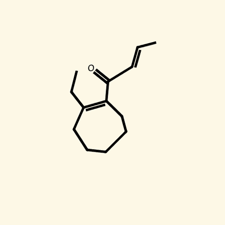 CC=CC(=O)C1=C(CC)CCCCC1